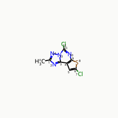 Cc1nc2c3cc(Cl)sc3nc(Cl)n2n1